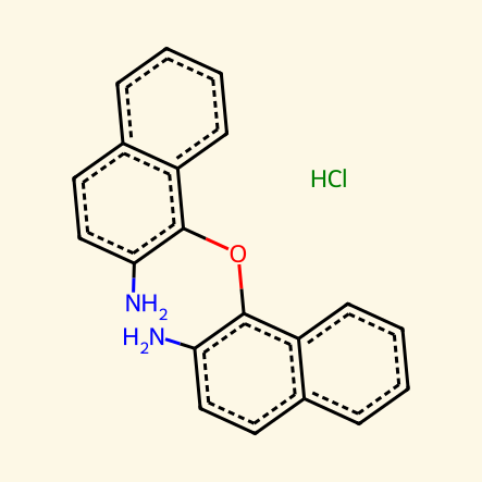 Cl.Nc1ccc2ccccc2c1Oc1c(N)ccc2ccccc12